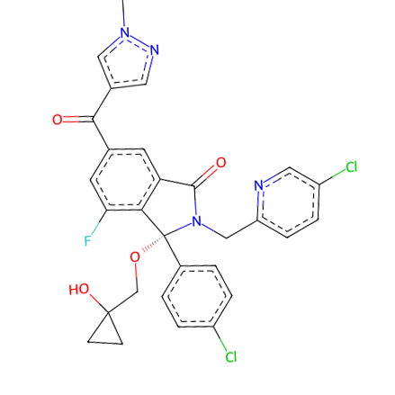 Cn1cc(C(=O)c2cc(F)c3c(c2)C(=O)N(Cc2ccc(Cl)cn2)[C@@]3(OCC2(O)CC2)c2ccc(Cl)cc2)cn1